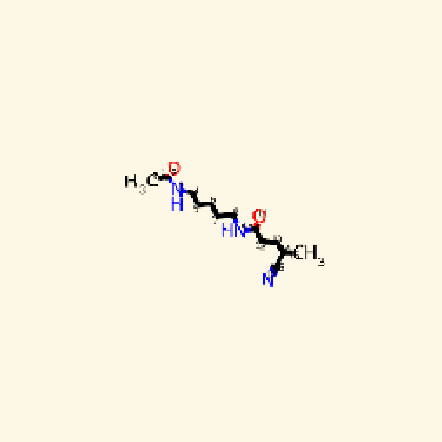 CC(=O)NCCCCCNC(=O)CCC(C)C#N